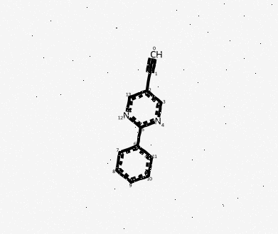 C#Cc1cnc(-c2cc[c]cc2)nc1